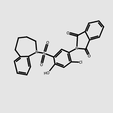 O=C1c2ccccc2C(=O)N1c1cc(S(=O)(=O)N2CCCCc3ccccc32)c(O)cc1Cl